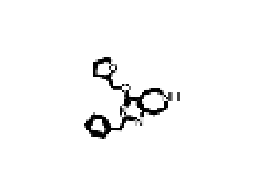 c1ccc(Cc2nc3c(c(OCC4CCCO4)n2)CCNCC3)cc1